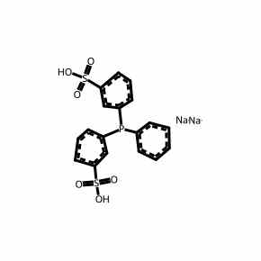 O=S(=O)(O)c1cccc(P(c2ccccc2)c2cccc(S(=O)(=O)O)c2)c1.[Na].[Na]